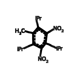 Cc1c(C(C)C)c([N+](=O)[O-])c(C(C)C)c([N+](=O)[O-])c1C(C)C